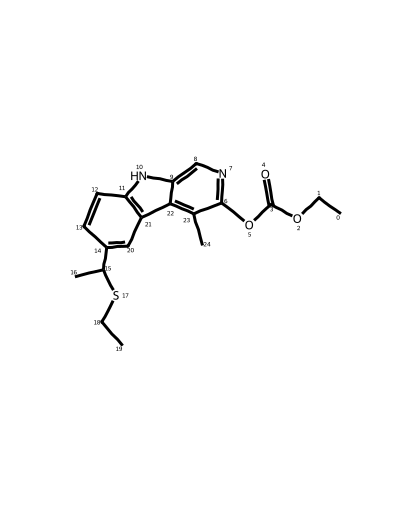 CCOC(=O)Oc1ncc2[nH]c3ccc(C(C)SCC)cc3c2c1C